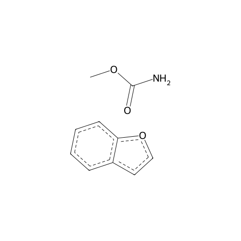 COC(N)=O.c1ccc2occc2c1